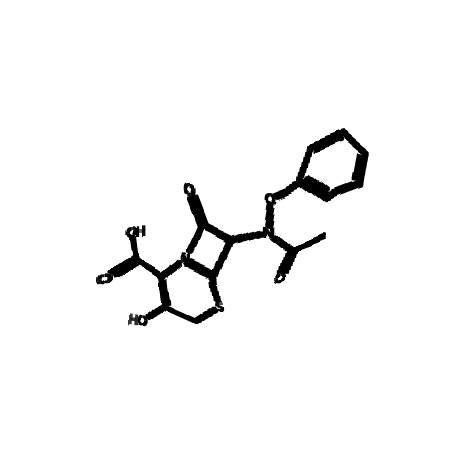 CC(=O)N(Oc1ccccc1)C1C(=O)N2C(C(=O)O)=C(O)CSC12